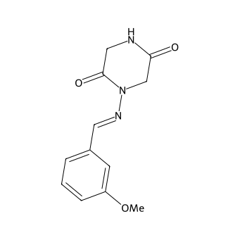 COc1cccc(C=NN2CC(=O)NCC2=O)c1